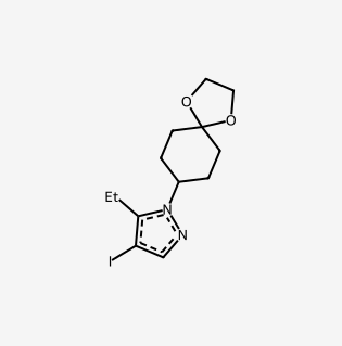 CCc1c(I)cnn1C1CCC2(CC1)OCCO2